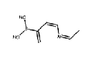 C=C(/C=C\N=C/C)B(O)O